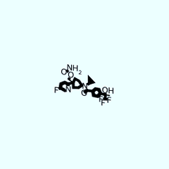 C[C@](O)(c1ccc(C(=O)N(C2CC2)[C@H]2CC[C@@](COC(N)=O)(c3ccc(F)cn3)CC2)cc1)C(F)(F)F